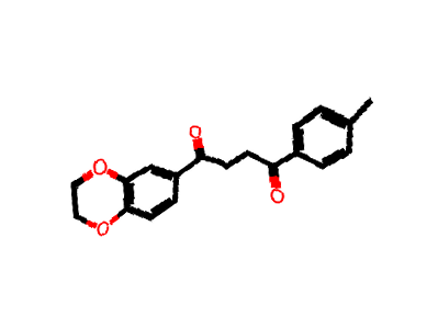 Cc1ccc(C(=O)CCC(=O)c2ccc3c(c2)OCCO3)cc1